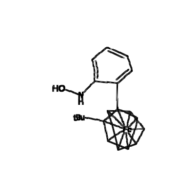 CC(C)(C)[C]12[CH]3[CH]4[CH]5[C]1(c1ccccc1NO)[Fe]45321678[CH]2[CH]1[CH]6[CH]7[CH]28